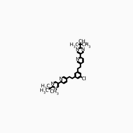 CC(C)(C)c1ncc(-c2ccc(CCc3cc(Cl)cc(CCc4ccc(-c5cnc(C(C)(C)C)nc5)nc4)c3)cn2)cn1